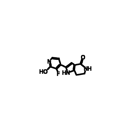 O=C1NCCc2[nH]c(-c3ccnc(O)c3F)cc21